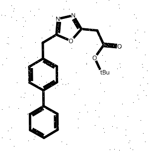 CC(C)(C)OC(=O)Cc1nnc(Cc2ccc(-c3ccccc3)cc2)o1